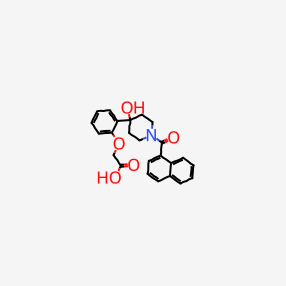 O=C(O)COc1ccccc1C1(O)CCN(C(=O)c2cccc3ccccc23)CC1